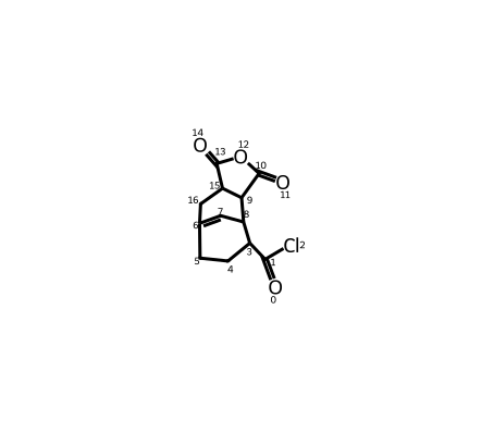 O=C(Cl)C1CCC2=CC1C1C(=O)OC(=O)C1C2